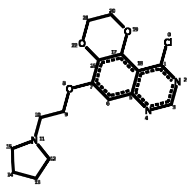 Clc1ncnc2cc(OCCN3CCCC3)c3c(c12)OCCO3